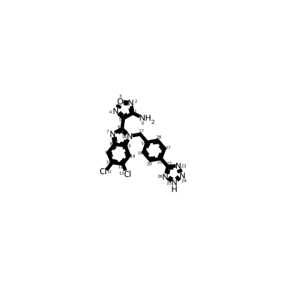 Nc1nonc1-c1nc2cc(Cl)c(Cl)cc2n1Cc1ccc(-c2nn[nH]n2)cc1